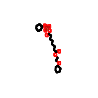 O=C(CCCCCCC(=O)OS(=O)(=O)OC1CCCCC1)OCCOC1CCCCC1